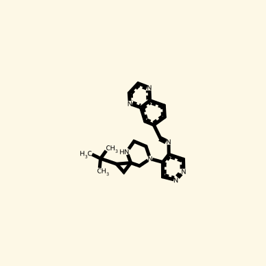 CC(C)(C)C1CC12CN(c1cnncc1/N=C/c1ccc3nccnc3c1)CCN2